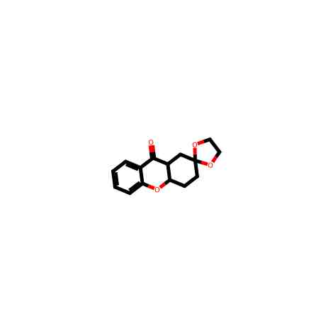 O=C1c2ccccc2OC2CCC3(CC12)OCCO3